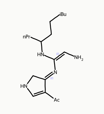 CCCC(CCC(C)CC)NC(=C/N)/N=C1\CNC=C1C(C)=O